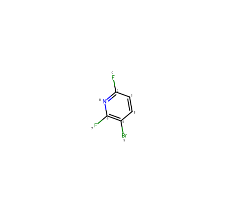 Fc1ccc(Br)c(F)n1